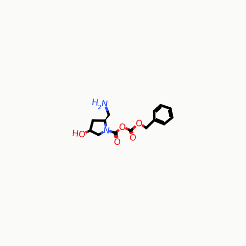 NC[C@@H]1CC(O)CN1C(=O)OC(=O)OCc1ccccc1